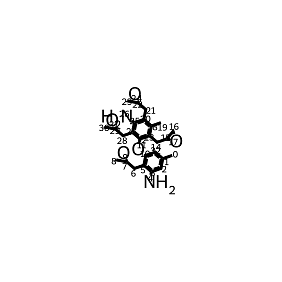 Cc1cc(N)c(CC2CO2)c(Oc2c(CC3CO3)c(C)c(CC3CO3)c(N)c2CC2CO2)c1